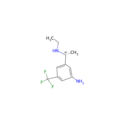 CCN[C@H](C)c1cc(N)cc(C(F)(F)F)c1